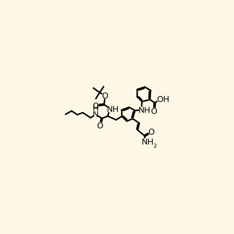 CCCCCNC(=O)C(Cc1ccc(Nc2ccccc2C(=O)O)c(C=CC(N)=O)c1)NC(=O)OC(C)(C)C